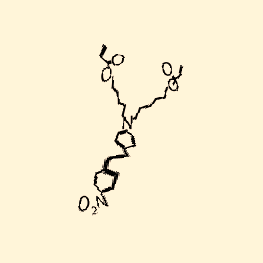 C=CC(=O)OCCCCCCN(CCCCCCOC(=O)C=C)c1ccc(C=Cc2ccc([N+](=O)[O-])cc2)cc1